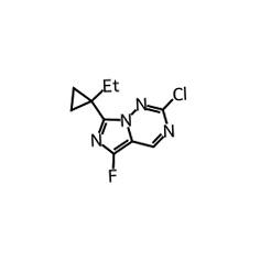 CCC1(c2nc(F)c3cnc(Cl)nn23)CC1